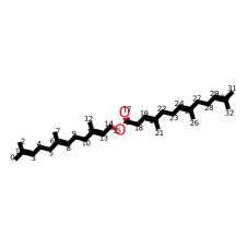 CC(C)=CCC/C(C)=C/CC/C(C)=C/COC(=O)C/C=C(\C)CC/C=C(\C)CCC=C(C)C